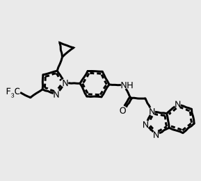 O=C(Cn1nnc2cccnc21)Nc1ccc(-n2nc(CC(F)(F)F)cc2C2CC2)cc1